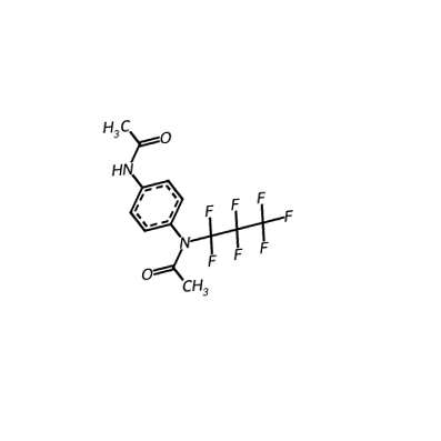 CC(=O)Nc1ccc(N(C(C)=O)C(F)(F)C(F)(F)C(F)(F)F)cc1